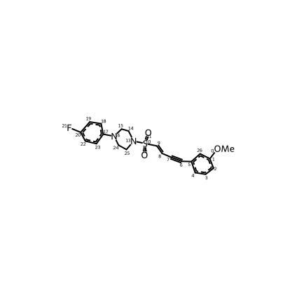 COc1cccc(C#CC=CS(=O)(=O)N2CCN(c3ccc(F)cc3)CC2)c1